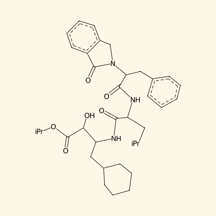 CC(C)CC(NC(=O)C(Cc1ccccc1)N1Cc2ccccc2C1=O)C(=O)NC(CC1CCCCC1)C(O)C(=O)OC(C)C